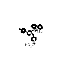 CC(C)(C)[Si](OC[C@@H]1CN(c2ccc(I)cc2)CCN1CC1CCN(CC(=O)O)CC1)(c1ccccc1)c1ccccc1